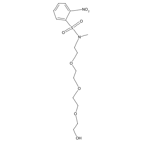 CN(CCOCCOCCOCCO)S(=O)(=O)c1ccccc1[N+](=O)[O-]